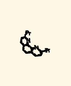 CC(C)c1ccc2ccc3ccc(C(C)C)nc3c2n1